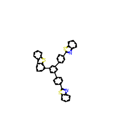 c1ccc2sc(-c3ccc(-c4cc(-c5ccc(-c6nc7ccccc7s6)cc5)cc(-c5cccc6c5sc5ccccc56)c4)cc3)nc2c1